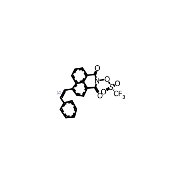 O=C1c2cccc3c(/C=C\c4ccccc4)ccc(c23)C(=O)N1OS(=O)(=O)C(F)(F)F